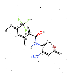 C=C(Br)/C=C(N)\C(=C/C)N(C)C(=O)C(=C)/C(C)=C\C(=C/C)C(F)(F)F